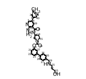 Cn1cc(-c2cnc(N)c(C(=O)N[C@@H]3CCN(C(=O)Oc4cccc(-c5ccc(CNCCCO)cc5)c4)C3)c2)cn1